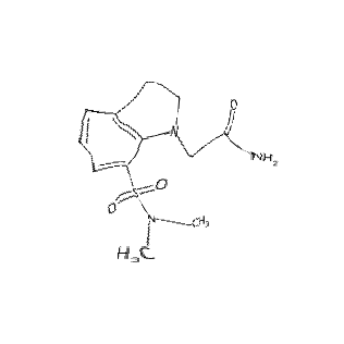 CN(C)S(=O)(=O)c1cccc2c1N(CC(N)=O)CC2